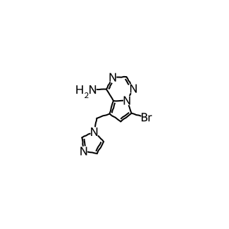 Nc1ncnn2c(Br)cc(Cn3ccnc3)c12